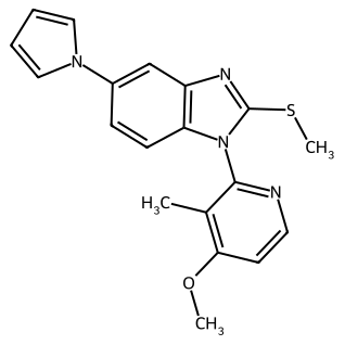 COc1ccnc(-n2c(SC)nc3cc(-n4cccc4)ccc32)c1C